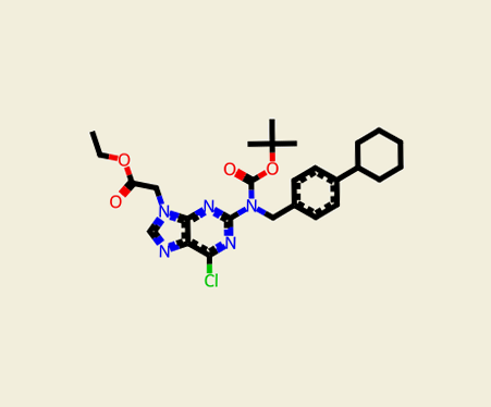 CCOC(=O)Cn1cnc2c(Cl)nc(N(Cc3ccc(C4CCCCC4)cc3)C(=O)OC(C)(C)C)nc21